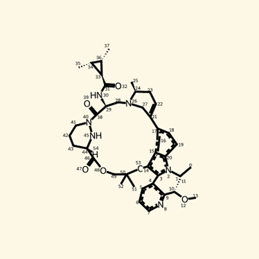 CCn1c(-c2cccnc2[C@H](C)OC)c2c3cc(ccc31)C1=CC[C@H](C)N(C1)C[C@H](NC(=O)[C@H]1[C@H](C)[C@@H]1C)C(=O)N1CCC[C@H](N1)C(=O)OCC(C)(C)C2